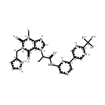 CC(C(=O)Nc1cncc(-c2cnc(C(F)(F)F)nc2)n1)n1cnc2c1c(=O)n(Cc1ccon1)c(=O)n2C